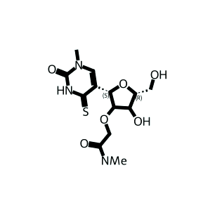 CNC(=O)COC1C(O)[C@@H](CO)O[C@H]1c1cn(C)c(=O)[nH]c1=S